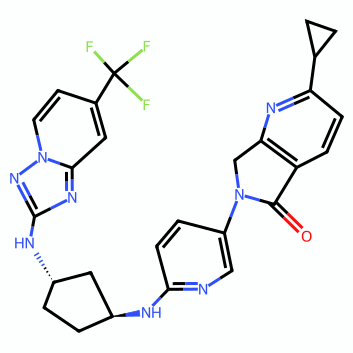 O=C1c2ccc(C3CC3)nc2CN1c1ccc(N[C@H]2CC[C@H](Nc3nc4cc(C(F)(F)F)ccn4n3)C2)nc1